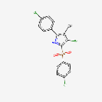 N#Cc1c(-c2ccc(Cl)cc2)[nH]c(S(=O)(=O)c2ccc(Cl)cc2)c1Br